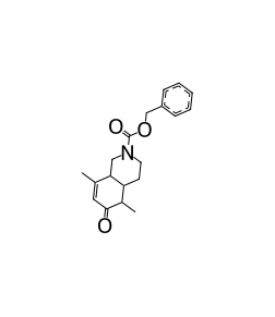 CC1=CC(=O)C(C)C2CCN(C(=O)OCc3ccccc3)CC12